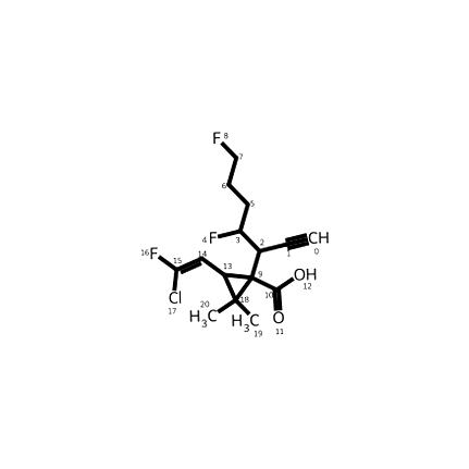 C#CC(C(F)CCCF)C1(C(=O)O)C(C=C(F)Cl)C1(C)C